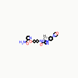 Cc1c(C(=O)N[C@H]2CC3(C2)C[C@H](Oc2ncccc2C(N)=O)C3)cnn1-c1ccc(N2CCOCC2)cc1